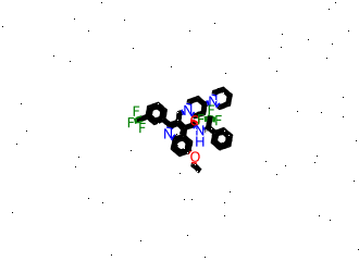 CCOc1ccc2nc(-c3cccc(C(F)(F)F)c3)c(CN3CCC(N4CCCCC4)CC3)c(C(=O)N[C@H](c3ccccc3)C(F)(F)F)c2c1